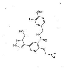 COc1ccc(CNC(=O)c2cc(-c3c[nH]nc3CO)ccc2OCC2CC2)cc1F